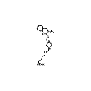 CCCCCCCCCCCCCCOC[C@@H]1CO[C@@H](COC(=O)N(Cc2ccccn2)C(C)=O)C1